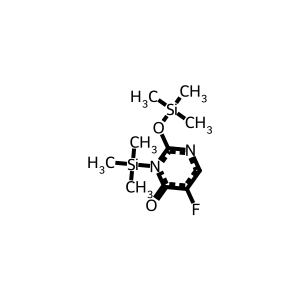 C[Si](C)(C)Oc1ncc(F)c(=O)n1[Si](C)(C)C